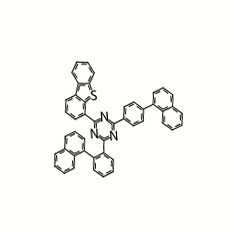 c1ccc(-c2cccc3ccccc23)c(-c2nc(-c3ccc(-c4cccc5ccccc45)cc3)nc(-c3cccc4c3sc3ccccc34)n2)c1